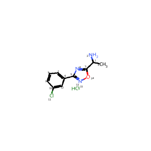 CC(N)c1nc(-c2cccc(Cl)c2)no1.Cl